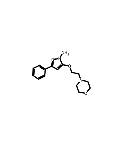 Nn1nc(-c2ccccc2)cc1OCCN1CCOCC1